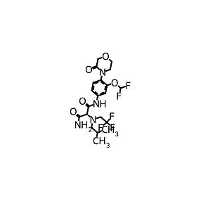 CC(C)CN(CC(F)(F)F)[C@@H](C(N)=O)C(=O)Nc1ccc(N2CCOCC2=O)c(OC(F)F)c1